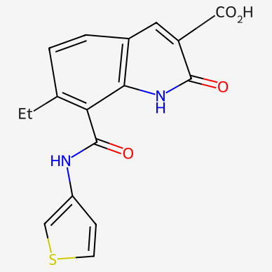 CCc1ccc2cc(C(=O)O)c(=O)[nH]c2c1C(=O)Nc1ccsc1